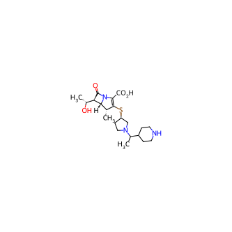 CC(C1CCNCC1)N1CC[C@@H](SC2=C(C(=O)O)N3C(=O)[C@H]([C@@H](C)O)[C@H]3[C@H]2C)C1